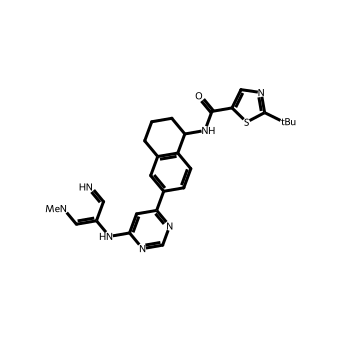 CN/C=C(\C=N)Nc1cc(-c2ccc3c(c2)CCCC3NC(=O)c2cnc(C(C)(C)C)s2)ncn1